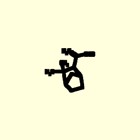 C=C(C=O)C1C2CCC(C2)C1(C)C